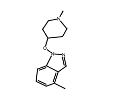 Cc1cccc2c1cnn2OC1CCN(C)CC1